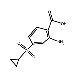 Nc1cc(S(=O)(=O)C2CC2)ccc1C(=O)O